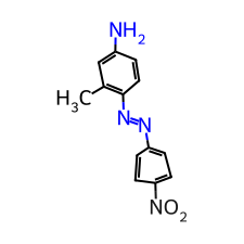 Cc1cc(N)ccc1/N=N/c1ccc([N+](=O)[O-])cc1